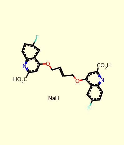 O=C(O)c1cc(OC/C=C/COc2cc(C(=O)O)nc3ccc(F)cc23)c2cc(F)ccc2n1.[NaH]